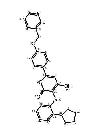 O=c1oc(-c2ccc(OCc3cccnc3)cc2)cc(O)c1Sc1ccccc1C1CCCC1